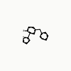 Fc1ccc(Cc2ccccc2)cc1-c1cccs1